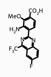 COc1c(C(=O)O)ccc(-c2nc(C(F)(F)F)c3cc(F)ccc3n2)c1N